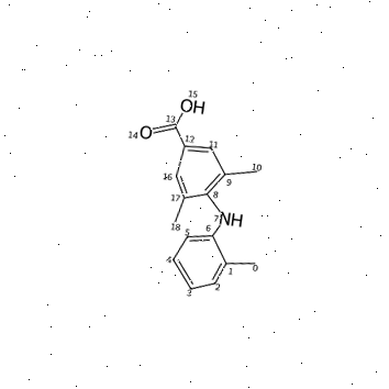 Cc1ccccc1Nc1c(C)cc(C(=O)O)cc1C